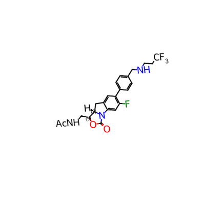 CC(=O)NC[C@@H]1OC(=O)N2c3cc(F)c(-c4ccc(CNCCC(F)(F)F)cc4)cc3C[C@@H]12